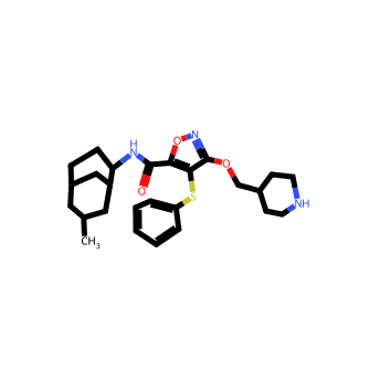 CC1CC2CCC(NC(=O)c3onc(OCC4CCNCC4)c3Sc3ccccc3)C(C1)C2